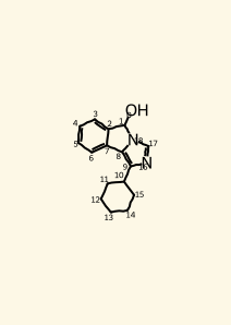 OC1c2ccccc2-c2c(C3CCCCC3)ncn21